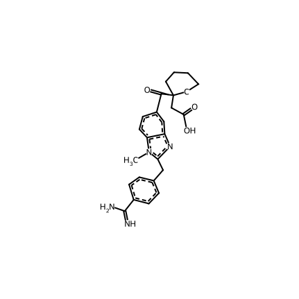 Cn1c(Cc2ccc(C(=N)N)cc2)nc2cc(C(=O)C3(CC(=O)O)CCCCC3)ccc21